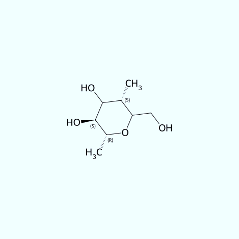 C[C@@H]1C(CO)O[C@H](C)[C@@H](O)C1O